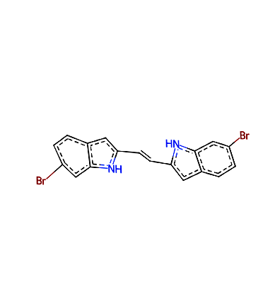 Brc1ccc2cc(/C=C/c3cc4ccc(Br)cc4[nH]3)[nH]c2c1